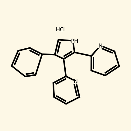 Cl.c1ccc(-c2c[pH]c(-c3ccccn3)c2-c2ccccn2)cc1